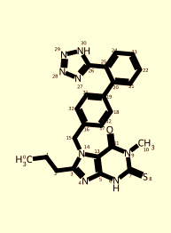 CCCc1nc2[nH]c(=S)n(C)c(=O)c2n1Cc1ccc(-c2ccccc2-c2nnn[nH]2)cc1